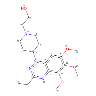 CCc1nc(N2CCN(CCO)CC2)c2cc(OC)c(OC)c(OC)c2n1